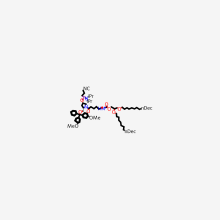 [C-]#[N+]CCCP(O[C@@H]1C[C@@H](COC(c2ccccc2)(c2ccc(OC)cc2)c2ccc(OC)cc2)N(C(=O)CCCCCNC(=O)OCC(COCCCCCCCCCCCCCCCCCC)OCCCCCCCCCCCCCCCCCC)C1)N(C(C)C)C(C)C